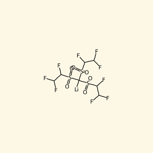 [Li][C](S(=O)(=O)C(F)C(F)F)(S(=O)(=O)C(F)C(F)F)S(=O)(=O)C(F)C(F)F